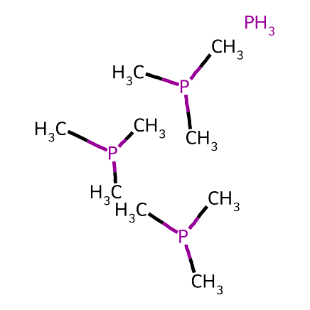 CP(C)C.CP(C)C.CP(C)C.P